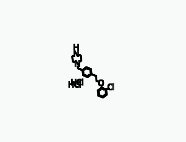 Cl.Cl.Clc1ccccc1OCCc1ccc(CN2CCNCC2)cc1